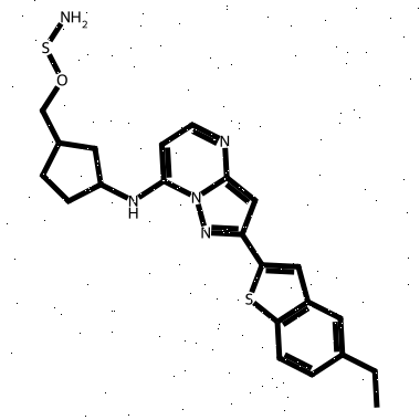 CCc1ccc2sc(-c3cc4nccc(NC5CCC(COSN)C5)n4n3)cc2c1